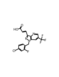 O=C(O)C=Cc1nn(Cc2ccc(Cl)cc2F)c2cc(C(F)(F)F)cnc12